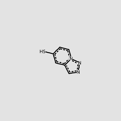 Sc1ccn2nncc2c1